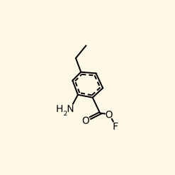 CCc1ccc(C(=O)OF)c(N)c1